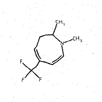 CC1CC=C(C(F)(F)F)C=CN1C